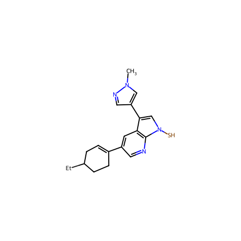 CCC1CC=C(c2cnc3c(c2)c(-c2cnn(C)c2)cn3S)CC1